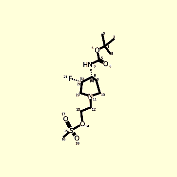 CC(C)(C)OC(=O)N[C@@H]1CCN(CCOS(C)(=O)=O)C[C@@H]1F